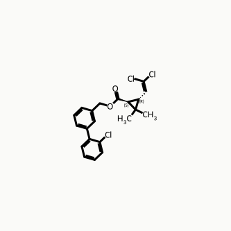 CC1(C)[C@@H](C=C(Cl)Cl)[C@@H]1C(=O)OCc1cccc(-c2ccccc2Cl)c1